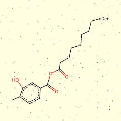 CCCCCCCCCCCCCCCCCC(=O)OC(=O)c1ccc(C)c(O)c1